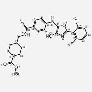 CC(C)(C)OC(=O)N1CCC(CNC(=O)c2ccc(Nc3oc(-c4c(F)cccc4F)nc3C#N)cc2)CC1